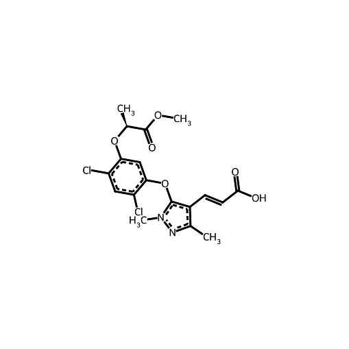 COC(=O)[C@H](C)Oc1cc(Oc2c(/C=C/C(=O)O)c(C)nn2C)c(Cl)cc1Cl